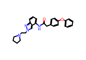 O=C(Cc1ccc(Oc2ccccc2)cc1)Nc1cccc2nn(CCN3CCCC3)cc12